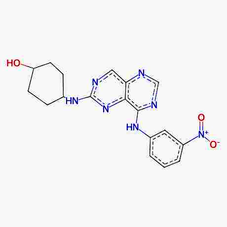 O=[N+]([O-])c1cccc(Nc2ncnc3cnc(NC4CCC(O)CC4)nc23)c1